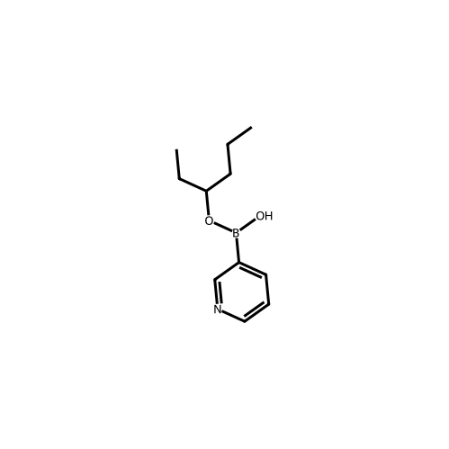 CCCC(CC)OB(O)c1cccnc1